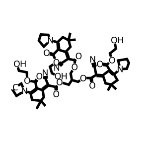 CC1(C)CC(N2CCCC2)=C(C(=O)OCCO)/C(=C(\C#N)C(=O)OCC(COC(=O)/C(C#N)=C2\CC(C)(C)CC(N3CCCC3)=C2C(=O)OCCO)COC(=O)/C(C#N)=C2\CC(C)(C)CC(N3CCCC3)=C2C(=O)OCCO)C1